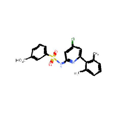 Cc1cccc(C)c1-c1cc(Cl)cc(NS(=O)(=O)c2cccc(C(=O)O)c2)n1